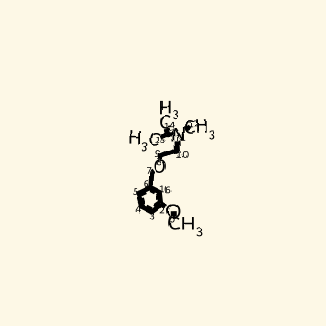 COc1cccc(COCCN(C)C(C)C)c1